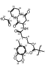 CC(C)(C)C(=O)OCS[C@H](Cc1ccc2c(c1)OCO2)C(=O)NC1CC(=O)N2CC=C[C@@H](C(=O)O)N2C1=O